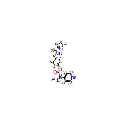 CN(C(=O)OC1CCC(CNC(=O)N2CCCC2)CC1)c1ccncc1